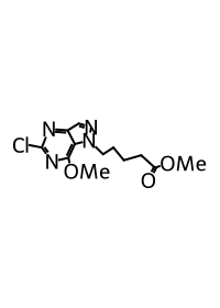 COC(=O)CCCCn1ncc2nc(Cl)nc(OC)c21